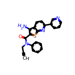 C#CCN(C(=O)c1sc2nc(-c3cccnc3)ccc2c1N)c1ccccc1